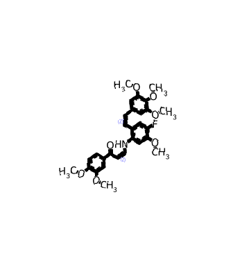 COc1cc(N/C=C\C(=O)c2ccc(OC)c(OC)c2)c(/C=C\c2cc(OC)c(OC)c(OC)c2)cc1F